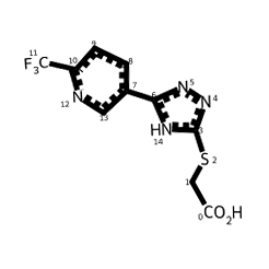 O=C(O)CSc1nnc(-c2ccc(C(F)(F)F)nc2)[nH]1